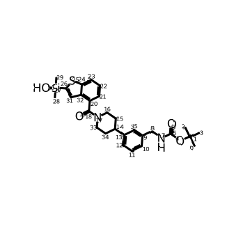 CC(C)(C)OC(=O)NCc1cccc(C2CCN(C(=O)c3cccc4sc([Si](C)(C)O)cc34)CC2)c1